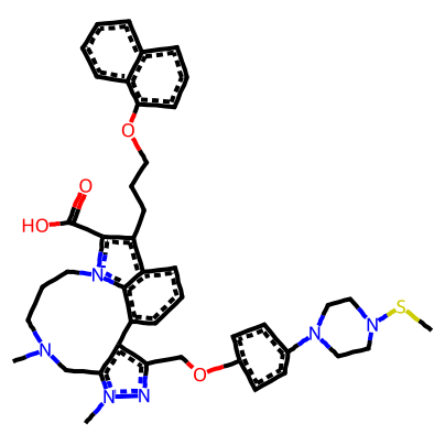 CSN1CCN(c2ccc(OCc3nn(C)c4c3-c3cccc5c(CCCOc6cccc7ccccc67)c(C(=O)O)n(c35)CCCN(C)C4)cc2)CC1